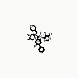 CC1CN([C@@]2(C(=O)NCC3CCOCC3)CC(F)=C(c3ccccc3)C=C2Nc2ncnc(Cl)c2N)CCN1C